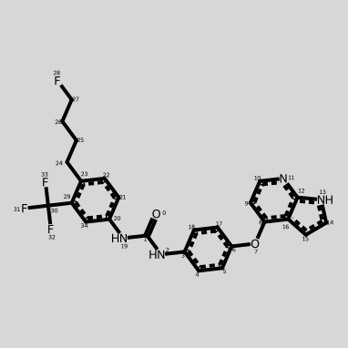 O=C(Nc1ccc(Oc2ccnc3[nH]ccc23)cc1)Nc1ccc(CCCCF)c(C(F)(F)F)c1